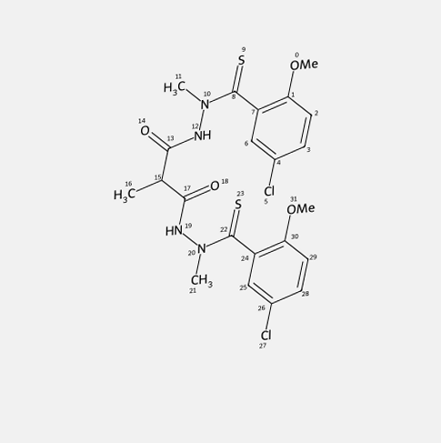 COc1ccc(Cl)cc1C(=S)N(C)NC(=O)C(C)C(=O)NN(C)C(=S)c1cc(Cl)ccc1OC